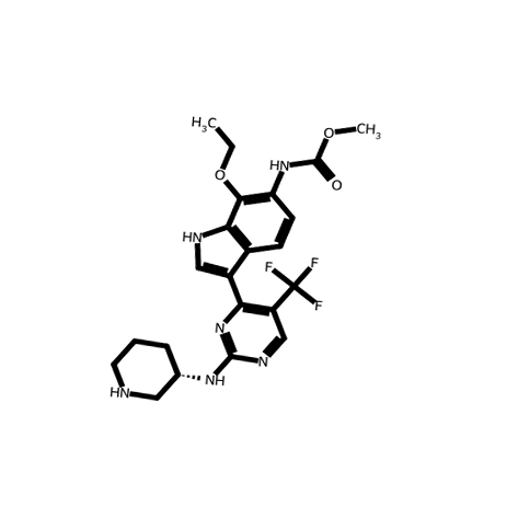 CCOc1c(NC(=O)OC)ccc2c(-c3nc(N[C@H]4CCCNC4)ncc3C(F)(F)F)c[nH]c12